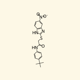 CC(C)(C)c1ccc(NC(=O)CSc2nc3cc([N+](=O)[O-])ccc3[nH]2)cc1